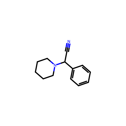 N#CC(c1ccccc1)N1CCCCC1